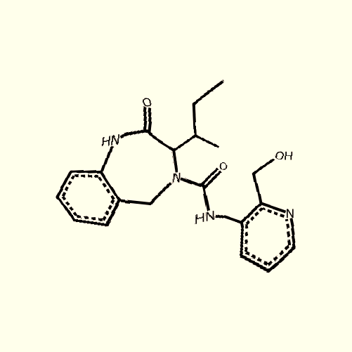 CCC(C)C1C(=O)Nc2ccccc2CN1C(=O)Nc1cccnc1CO